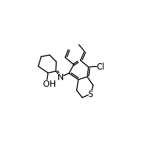 C=CC(=C)C(/N=C1\CCCCC1O)=C1/CCSC/C1=C(Cl)/C=C/C